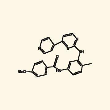 COc1ccc(C(=O)Nc2ccc(C)c(Nc3nccc(-c4ccncc4)n3)c2)cc1